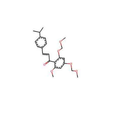 COCOc1cc(OC)c(C(=O)/C=C/c2ccc(C(C)C)cc2)c(OCOC)c1